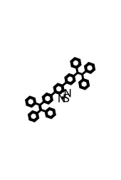 c1ccc(C(=C(c2ccccc2)c2ccc(-c3ccc(-c4ccc(C(c5ccccc5)C(c5ccccc5)c5ccccc5)cc4)c4nsnc34)cc2)c2ccccc2)cc1